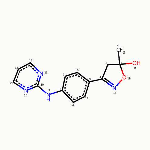 OC1(C(F)(F)F)CC(c2ccc(Nc3ncccn3)cc2)=NO1